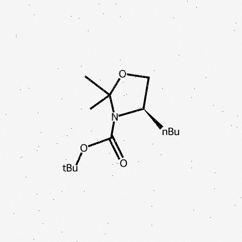 CCCC[C@@H]1COC(C)(C)N1C(=O)OC(C)(C)C